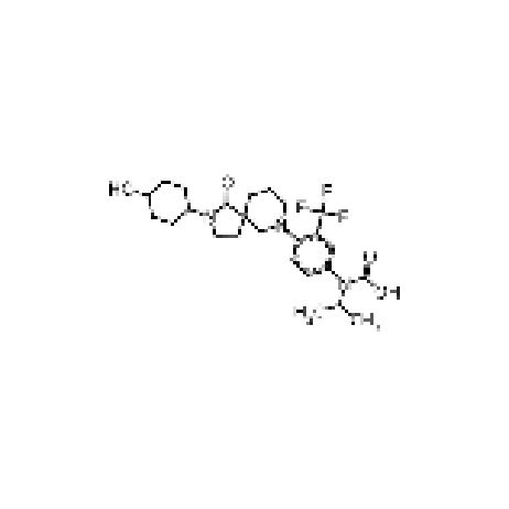 CC(C)N(C(=O)O)c1ccc(N2CCCC3(CCN(C4CCC(O)CC4)C3=O)C2)c(C(F)(F)F)c1